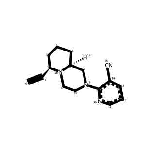 C#C[C@H]1CCC[C@H]2CN(c3ncccc3C#N)CCN21